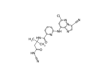 CC(C)(CC(=O)NC#N)NC(=O)c1cccc(Nc2cc(Cl)nn3c(C#N)cnc23)n1